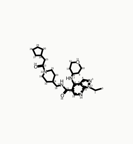 CCn1ncc2c(NC3CCOCC3)c(C(=O)NCC3CCN(C(=O)CC4CCCC4)CC3)cnc21